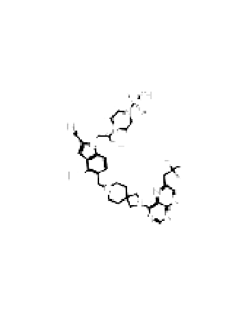 Cc1c(CN2CCC3(CC2)CN(c2ncnc4ncc(CC(F)(F)F)nc24)C3)ccc2c1cc(C#N)n2CC(C)N1CCN(S(C)(=O)=O)CC1